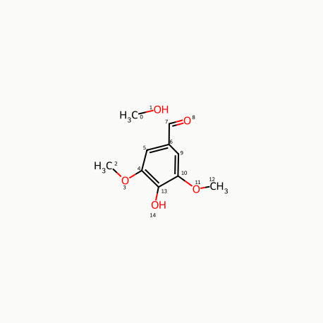 CO.COc1cc(C=O)cc(OC)c1O